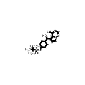 CC(C)(C)[Si](C)(C)OC1CCC(C(O)c2ccn3ncnc(Cl)c23)CC1